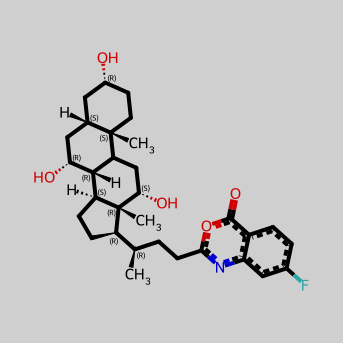 C[C@H](CCc1nc2cc(F)ccc2c(=O)o1)[C@H]1CC[C@H]2[C@H]3C(C[C@H](O)[C@]12C)[C@@]1(C)CC[C@@H](O)C[C@H]1C[C@H]3O